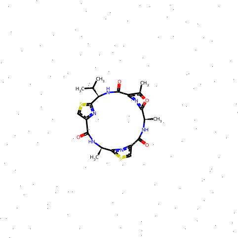 Cc1oc2nc1C(=O)N[C@H](C(C)C)c1nc(cs1)C(=O)N[C@H](C)c1nc(cs1)C(=O)N[C@@H]2C